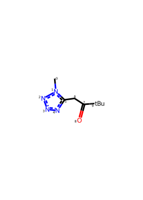 Cn1nnnc1CC(=O)C(C)(C)C